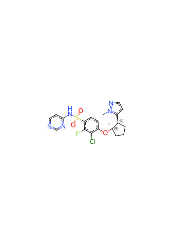 Cn1nccc1[C@H]1CCC[C@@]1(C)Oc1ccc(S(=O)(=O)Nc2ccncn2)c(F)c1Cl